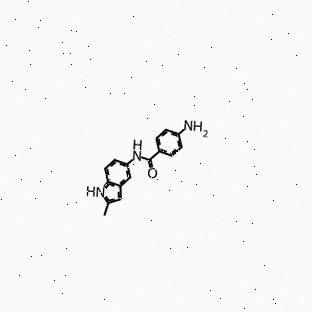 Cc1cc2cc(NC(=O)c3ccc(N)cc3)ccc2[nH]1